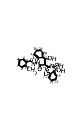 Cc1ccccc1CNn1c(=O)c(C2=NS(O)(O)c3ccccc3N2)c(O)c2ccccc21